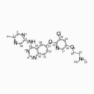 Cc1cnc(Nc2ncnc3ccc(Oc4ncc(OCCN(C)C)cc4Cl)cc23)cn1